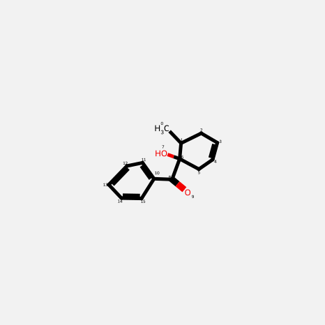 CC1CC=CCC1(O)C(=O)c1ccccc1